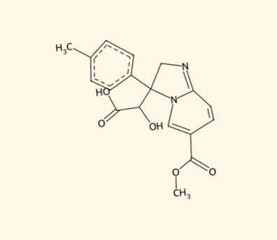 COC(=O)C1=CN2C(=NCC2(c2ccc(C)cc2)C(O)C(=O)O)C=C1